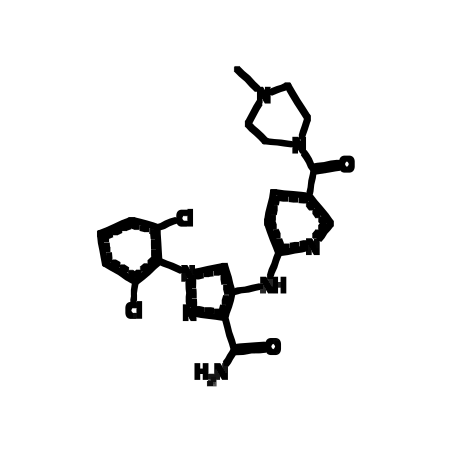 CN1CCN(C(=O)c2ccc(Nc3cn(-c4c(Cl)cccc4Cl)nc3C(N)=O)nc2)CC1